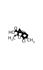 CC[C@H](Oc1c(Br)ccc(C)c1Cl)C1(C(=O)O)CC1